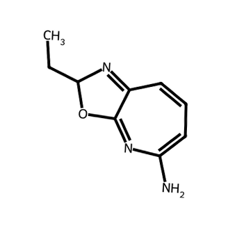 CCC1N=C2C=CC=C(N)N=C2O1